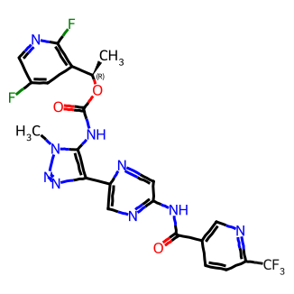 C[C@@H](OC(=O)Nc1c(-c2cnc(NC(=O)c3ccc(C(F)(F)F)nc3)cn2)nnn1C)c1cc(F)cnc1F